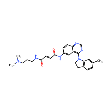 Cc1ccc2c(c1)N(c1ncnc3ccc(NC(=O)C=CC(=O)NCCCN(C)C)cc13)CC2